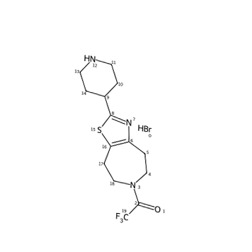 Br.O=C(N1CCc2nc(C3CCNCC3)sc2CC1)C(F)(F)F